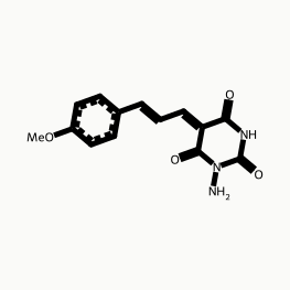 COc1ccc(/C=C/C=C2/C(=O)NC(=O)N(N)C2=O)cc1